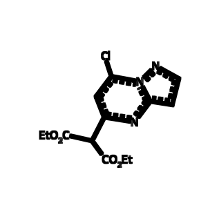 CCOC(=O)C(C(=O)OCC)c1cc(Cl)n2nccc2n1